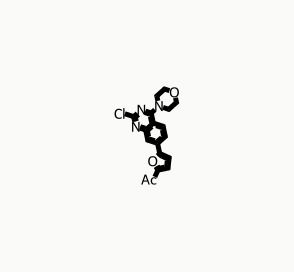 CC(=O)c1ccc(-c2ccc3c(N4CCOCC4)nc(Cl)nc3c2)o1